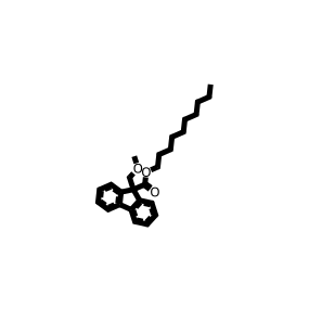 CCCCCCCCCCOC(=O)C1(COC)c2ccccc2-c2ccccc21